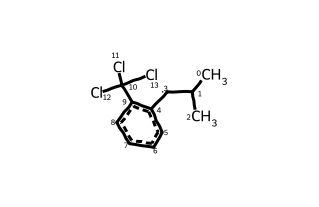 CC(C)[CH]c1ccccc1C(Cl)(Cl)Cl